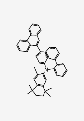 Cc1cc2c(cc1N(c1ccc(-c3cc4ccccc4c4ccccc34)cc1)c1ccccc1-c1ccccc1)C(C)(C)CCC2(C)C